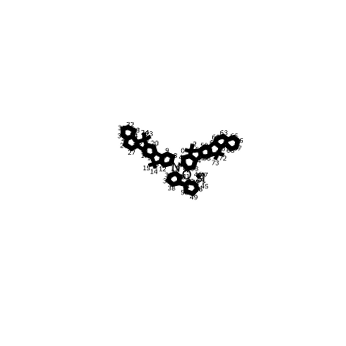 CC1(C)c2cc(N(c3ccc4c(c3)C(C)(C)c3cc5c(cc3-4)C(C)(C)c3c-5ccc4ccccc34)c3cccc4c3oc3c([Si](C)(C)C)cccc34)ccc2-c2cc3c(cc21)-c1ccc2ccccc2c1C3(C)C